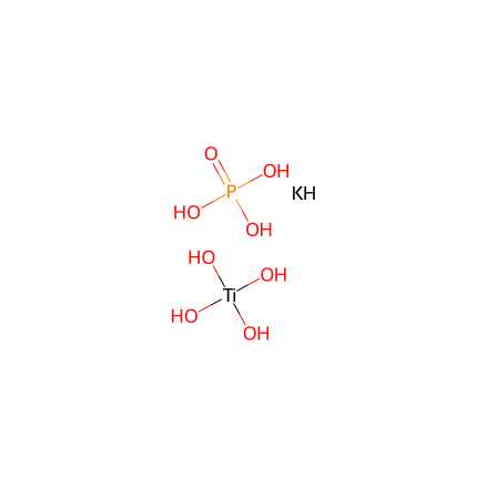 O=P(O)(O)O.[KH].[OH][Ti]([OH])([OH])[OH]